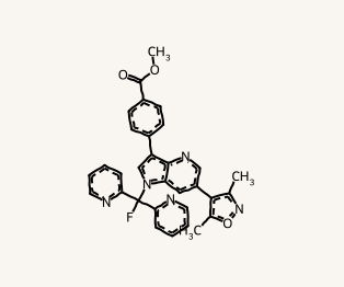 COC(=O)c1ccc(-c2cn(C(F)(c3ccccn3)c3ccccn3)c3cc(-c4c(C)noc4C)cnc23)cc1